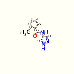 Cc1ccccc1C(=O)Nc1cn[nH]c1